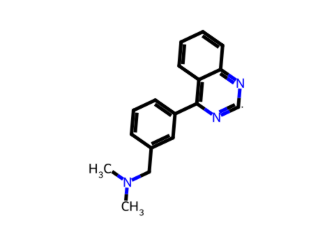 CN(C)Cc1cccc(-c2n[c]nc3ccccc23)c1